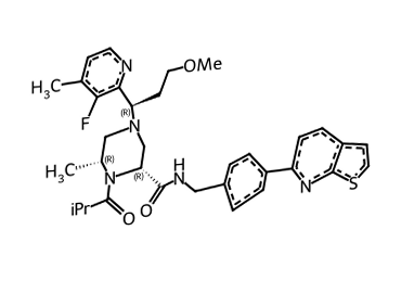 COCC[C@H](c1nccc(C)c1F)N1C[C@@H](C)N(C(=O)C(C)C)[C@@H](C(=O)NCc2ccc(-c3ccc4ccsc4n3)cc2)C1